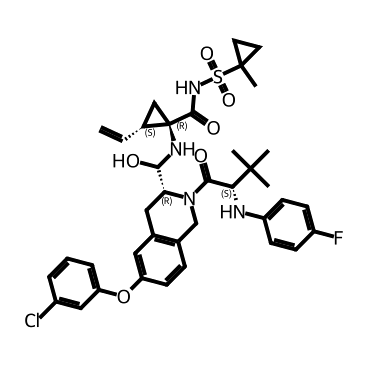 C=C[C@@H]1C[C@]1(NC(O)[C@H]1Cc2cc(Oc3cccc(Cl)c3)ccc2CN1C(=O)[C@@H](Nc1ccc(F)cc1)C(C)(C)C)C(=O)NS(=O)(=O)C1(C)CC1